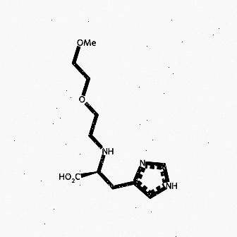 COCCOCCN[C@@H](Cc1c[nH]cn1)C(=O)O